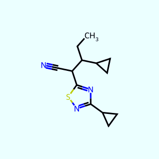 CCC(C1CC1)C(C#N)c1nc(C2CC2)ns1